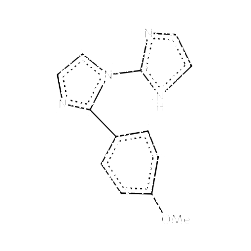 COc1ccc(-c2nccn2-c2ncc[nH]2)cc1